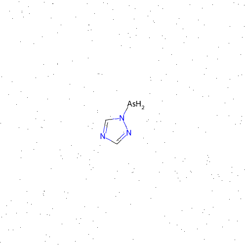 [AsH2]n1cncn1